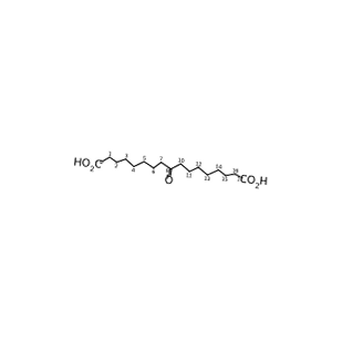 O=C(O)CCCCCCCC(=O)CCCCCCCC(=O)O